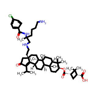 CC(C)C1=C2[C@H]3CC[C@@H]4[C@@]5(C)CC[C@H](OC(=O)[C@H]6C[C@@H](C(=O)O)C6(C)C)C(C)(C)[C@@H]5CC[C@@]4(C)[C@]3(C)CC[C@@]2(CCNCC(C)(CCCCN)NC(=O)c2ccc(Cl)cc2)CC1=O